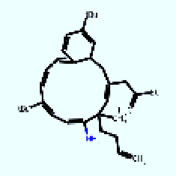 C=CCCC1(C)/C=C(/CC(=C)CC)CC2C=C(C(C)(C)C)C=C\C2=C/C=C\C(C(C)(C)C)=C/C=C\1N